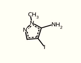 Cn1ncc(I)c1N